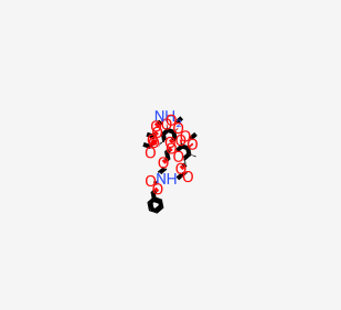 CC(=O)OC[C@@H]1O[C@H](OCCOCCNC(=O)OCc2ccccc2)[C@@H](O[C@H]2O[C@H](COC(C)=O)[C@@H](OC(C)=O)[C@H](OC(N)=O)[C@@H]2OC(C)=O)[C@@H](OC(C)=O)[C@@H]1C